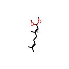 COC(/C=C(\C)CCC=C(C)C)OC